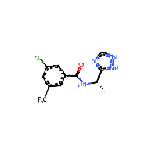 C[C@H](NC(=O)c1cc(Cl)cc(C(F)(F)F)c1)c1ncn[nH]1